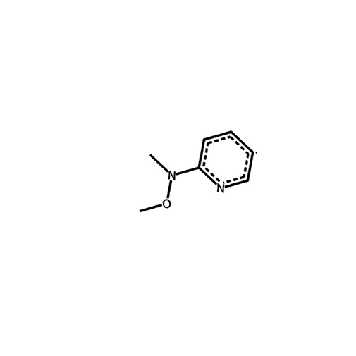 CON(C)c1cc[c]cn1